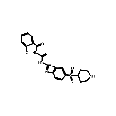 O=C(NC(=O)c1ccccc1Cl)Nc1nc2ccc(S(=O)(=O)C3CCNCC3)cc2s1